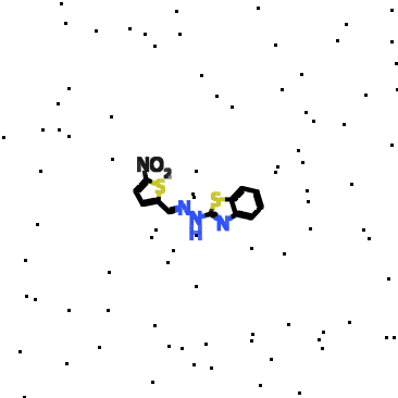 O=[N+]([O-])c1ccc(C=NNc2nc3ccccc3s2)s1